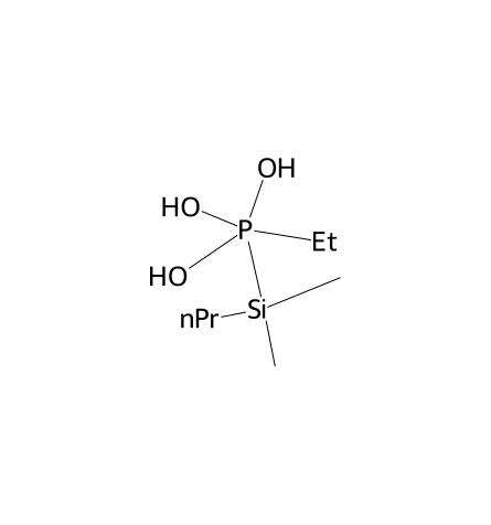 CCC[Si](C)(C)P(O)(O)(O)CC